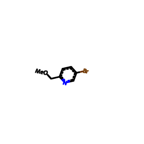 [CH2-][OH+]Cc1ccc(Br)cn1